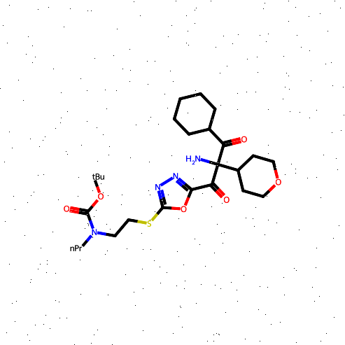 CCCN(CCSc1nnc(C(=O)C(N)(C(=O)C2CCCCC2)C2CCOCC2)o1)C(=O)OC(C)(C)C